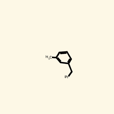 Cc1[c]ccc(CC(C)C)c1